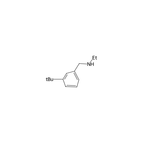 CCNCc1cccc(C(C)(C)C)c1